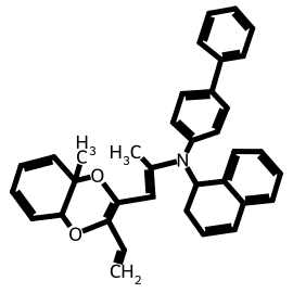 C=CC1=C(/C=C(\C)N(c2ccc(-c3ccccc3)cc2)C2CC=Cc3ccccc32)OC2(C)C=CC=CC2O1